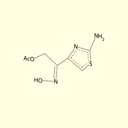 CC(=O)OCC(=NO)c1csc(N)n1